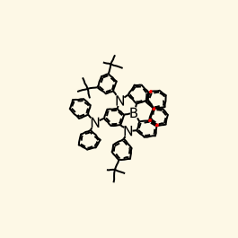 CC(C)(C)c1ccc(N2c3cccc(-c4ccccc4)c3B3c4c(-c5ccccc5)cccc4N(c4cc(C(C)(C)C)cc(C(C)(C)C)c4)c4cc(N(c5ccccc5)c5ccccc5)cc2c43)cc1